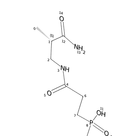 C[C@@H](CNC(=O)CCP(=O)(O)O)C(N)=O